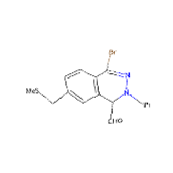 CSCc1ccc2c(c1)C(C=O)N(C(C)C)N=C2Br